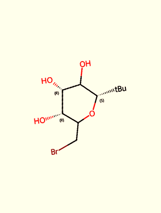 CC(C)(C)[C@@H]1OC(CBr)[C@H](O)[C@H](O)C1O